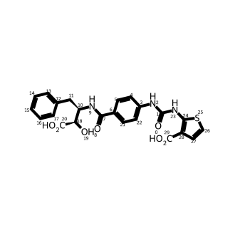 O=C(Nc1ccc(C(=O)N[C@H](Cc2ccccc2)[C@@H](O)C(=O)O)cc1)Nc1sccc1C(=O)O